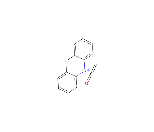 C=C=O.c1ccc2c(c1)Cc1ccccc1N2